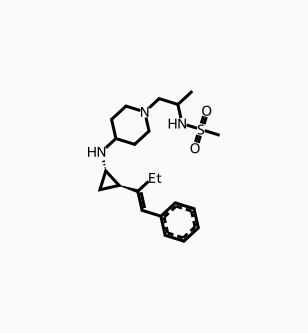 CC/C(=C\c1ccccc1)[C@H]1C[C@@H]1NC1CCN(CC(C)NS(C)(=O)=O)CC1